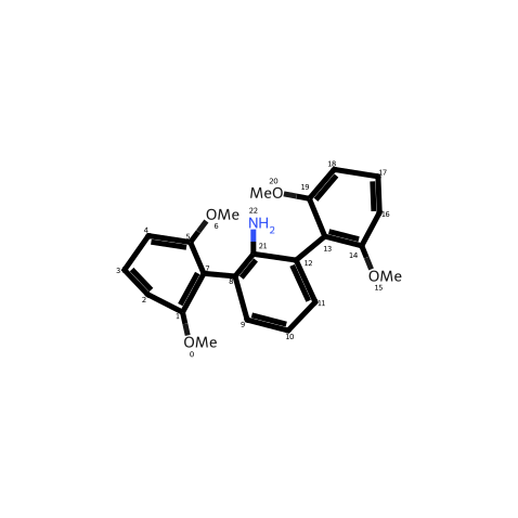 COc1cccc(OC)c1-c1cccc(-c2c(OC)cccc2OC)c1N